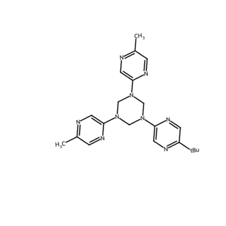 Cc1cnc(N2CN(c3cnc(C)cn3)CN(c3cnc(C(C)(C)C)cn3)C2)cn1